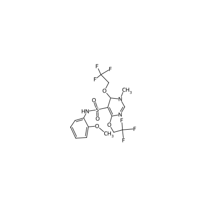 COc1ccccc1NS(=O)(=O)C1=C(OCC(F)(F)F)N=CN(C)C1OCC(F)(F)F